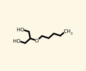 CCCCCOC(CO)CO